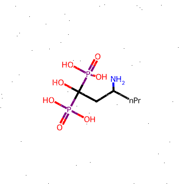 CCCC(N)CC(O)(P(=O)(O)O)P(=O)(O)O